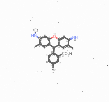 CCNc1cc2c(cc1C)C(c1ccc(C(C)=O)cc1C(=O)O)C1C=C(C)C(=N)C=C1O2